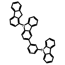 c1cc(-c2ccc3c(c2)c2ccccc2n3-c2cccc3c2Cc2ccccc2-3)cc(-n2c3ccccc3c3ccccc32)c1